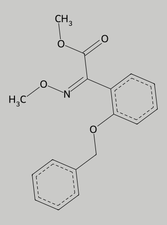 CON=C(C(=O)OC)c1ccccc1OCc1ccccc1